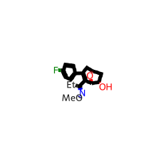 CCC(=NOC)C1=C(c2ccc(F)cc2)CC2CC(O)C1O2